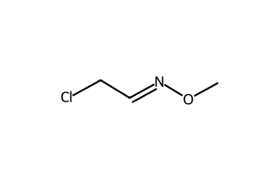 CON=CCCl